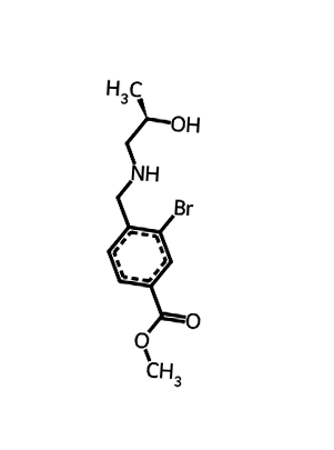 COC(=O)c1ccc(CNC[C@@H](C)O)c(Br)c1